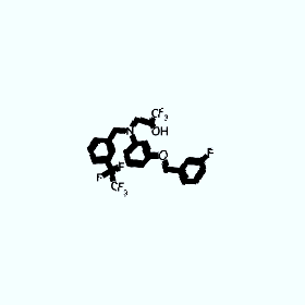 OC(CN(Cc1cccc(C(F)(F)C(F)(F)F)c1)c1cccc(OCc2cccc(F)c2)c1)C(F)(F)F